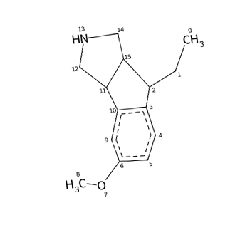 CCC1c2ccc(OC)cc2C2CNCC12